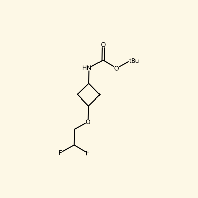 CC(C)(C)OC(=O)NC1CC(OCC(F)F)C1